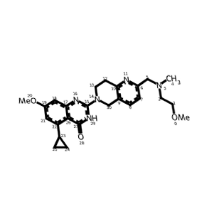 COCCN(C)Cc1ccc2c(n1)CCN(c1nc3cc(OC)cc(C4CC4)c3c(=O)[nH]1)C2